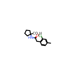 Cc1ccc(CC(=O)NC2(C(=O)O)CCCC2)c(Cl)c1